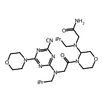 CC(C)CN(CC(=O)N1CCOCC1N(CC(N)=O)CC(C)C)c1nc(C#N)nc(N2CCOCC2)n1